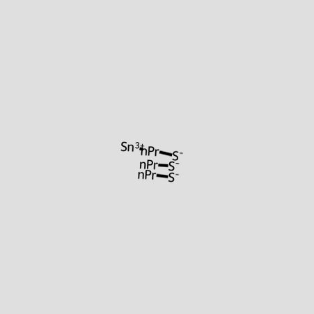 CCC[S-].CCC[S-].CCC[S-].[CH3][Sn+3]